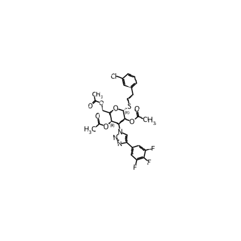 CC(=O)OCC1O[C@H](SCCc2cccc(Cl)c2)C(OC(C)=O)C(n2cc(-c3cc(F)c(F)c(F)c3)nn2)[C@H]1OC(C)=O